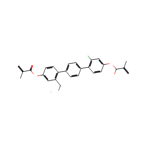 C=C(C)C(=O)Oc1ccc(-c2ccc(-c3ccc(OC(O)C(=C)C)cc3F)cc2)c(COC)c1